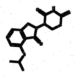 C=C1CCC(N2Cc3cccc(SC(C)C)c3C2=O)C(=O)N1